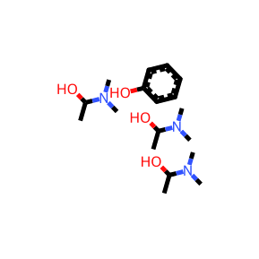 CC(O)N(C)C.CC(O)N(C)C.CC(O)N(C)C.Oc1ccccc1